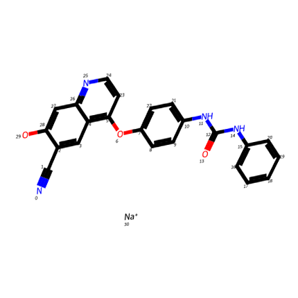 N#Cc1cc2c(Oc3ccc(NC(=O)Nc4ccccc4)cc3)ccnc2cc1[O-].[Na+]